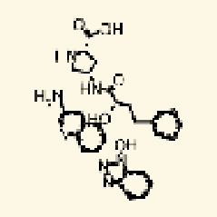 Nc1cnc2ccccc2c1.O=C(N[C@H]1CN[C@H](C(=O)O)C1)[C@H](O)CCc1ccccc1.On1nnc2ccccc21